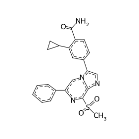 CS(=O)(=O)c1nc(-c2ccccc2)cn2c(-c3ccc(C(N)=O)c(C4CC4)c3)cnc12